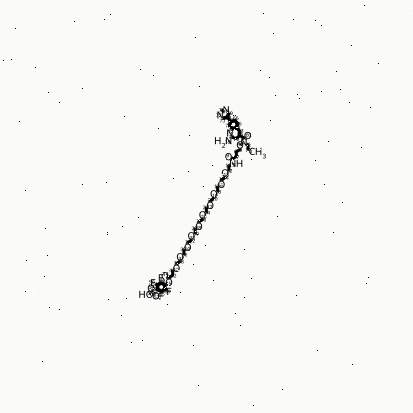 CCCN(OCCCC(=O)NCCOCCOCCOCCOCCOCCOCCOCCOCCOCCOCCC(=O)Oc1c(F)c(F)c(S(=O)(=O)O)c(F)c1F)C(=O)C1=Cc2ccc(-c3cncnc3)cc2N=C(N)C1